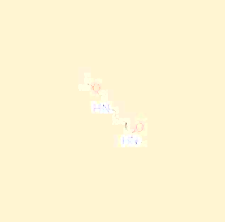 CNC(=O)/C=C/CCNCCOC(C)C